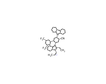 C=Cc1c(/C=C\C)c2ccccc2n1-c1cc(C#N)c(-n2c3ccccc3c3ccccc32)cc1-c1cc(C(F)(F)F)cc(C(F)(F)F)c1